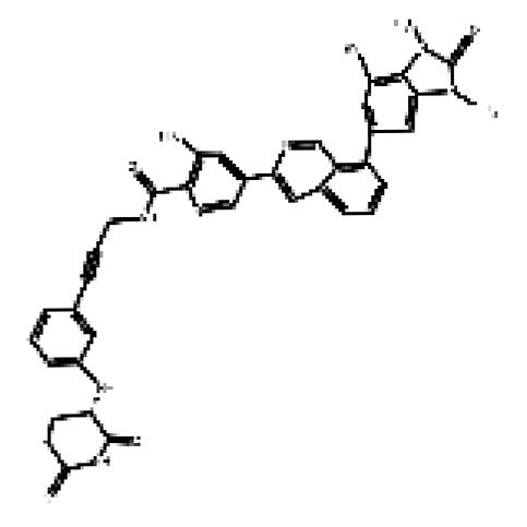 Cc1cc(-c2cc3cccc(-c4cc(C(C)C)c5c(c4)n(C)c(=O)n5C)c3cn2)cnc1C(=O)NCC#Cc1cccc(N[C@H]2CCC(=O)NC2=O)c1